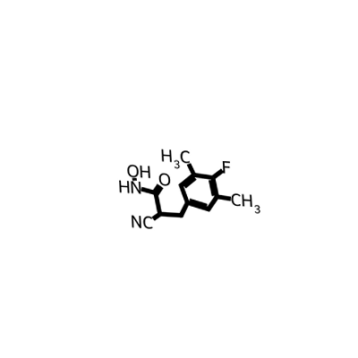 Cc1cc(CC(C#N)C(=O)NO)cc(C)c1F